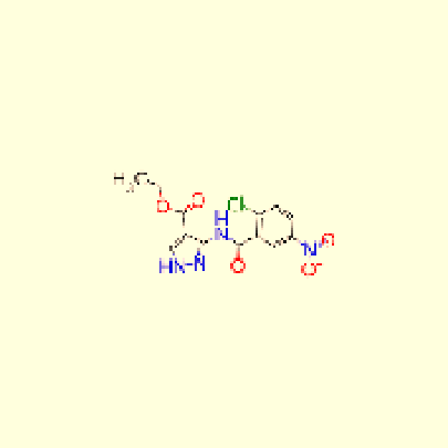 CCOC(=O)c1c[nH]nc1NC(=O)c1cc([N+](=O)[O-])ccc1Cl